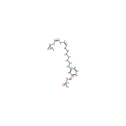 C=CC/C=C\C/C=C\CCCCCCCc1cccc(OCC2CO2)c1